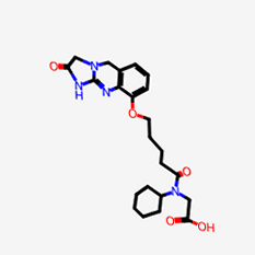 O=C(O)CN(C(=O)CCCCOc1cccc2c1N=C1NC(=O)CN1C2)C1CCCCC1